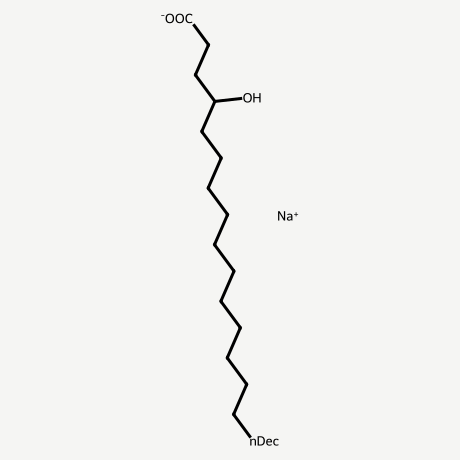 CCCCCCCCCCCCCCCCCCCCCC(O)CCC(=O)[O-].[Na+]